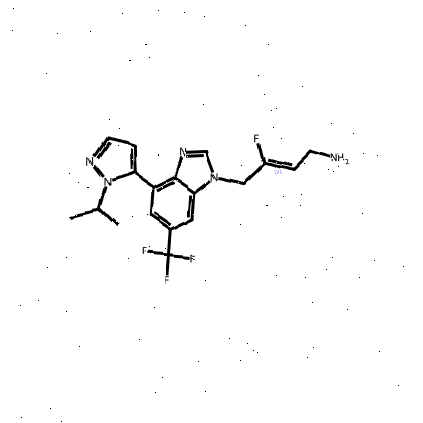 CC(C)n1nccc1-c1cc(C(F)(F)F)cc2c1ncn2C/C(F)=C/CN